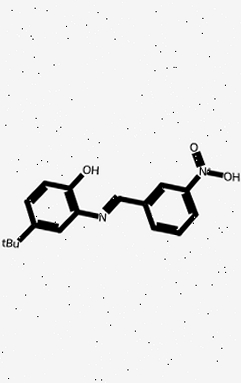 CC(C)(C)c1ccc(O)c(/N=C/c2cccc([N+](=O)O)c2)c1